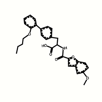 CCCCOc1ccccc1-c1ccc(CC(NC(=O)c2cc3cc(OC)ccc3o2)C(=O)O)cc1